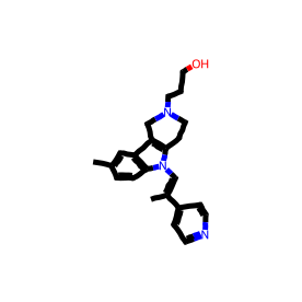 CC(=Cn1c2c(c3cc(C)ccc31)CN(CCCO)CC2)c1ccncc1